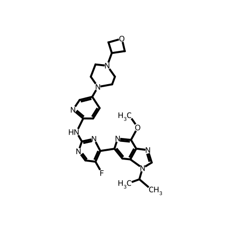 COc1nc(-c2nc(Nc3ccc(N4CCN(C5COC5)CC4)cn3)ncc2F)cc2c1ncn2C(C)C